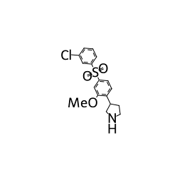 COc1cc(S(=O)(=O)c2cccc(Cl)c2)ccc1C1CCNC1